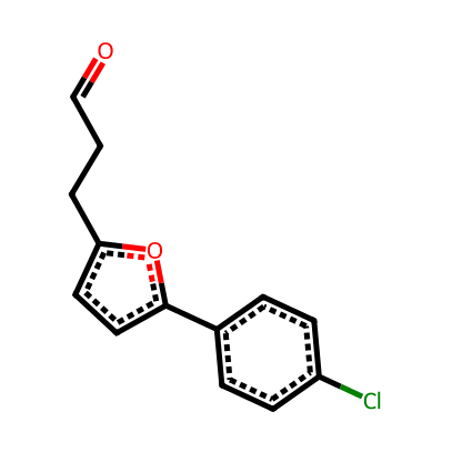 O=CCCc1ccc(-c2ccc(Cl)cc2)o1